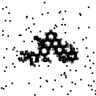 C[C@@H]1CN2c3c4c(nc5c(F)c(-c6c(O)cccc6F)c(Cl)cc35)OCCN4C(=C=O)[C@H]2CN1C(=O)OC(C)(C)C